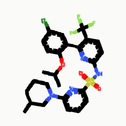 CC1CCCN(c2cccc(S(=O)(=O)Nc3ccc(C(F)(F)F)c(-c4cc(Cl)ccc4OC(C)C)n3)n2)C1